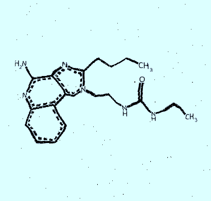 CCCCc1nc2c(N)nc3ccccc3c2n1CCNC(=O)NCC